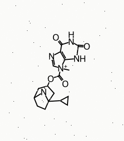 CN1C2CCC1(C1CC1)CC(OC(=O)[N+]1(C)C=Nc3c1[nH]c(=O)[nH]c3=O)C2